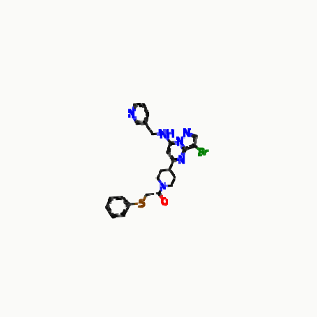 O=C(CSc1ccccc1)N1CCC(c2cc(NCc3cccnc3)n3ncc(Br)c3n2)CC1